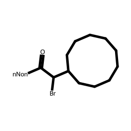 CCCCCCCCCC(=O)C(Br)C1CCCCCCCCC1